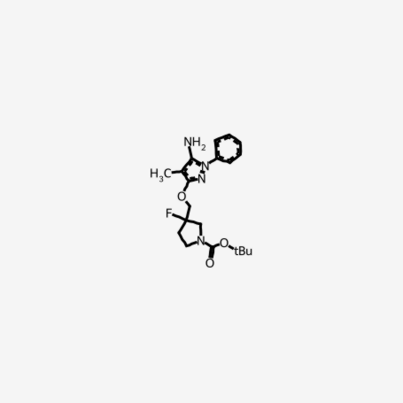 Cc1c(OCC2(F)CCN(C(=O)OC(C)(C)C)C2)nn(-c2ccccc2)c1N